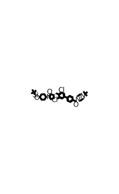 CC(C)(C)N1CCN(C(=O)c2ccc(-c3cc(Cl)c(C[C@@H]4CCN([C@H]5CC[C@H](O[Si](C)(C)C(C)(C)C)CC5)C4=O)c(Cl)c3)cc2)CC1